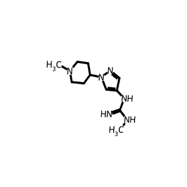 CNC(=N)Nc1cnn(C2CCN(C)CC2)c1